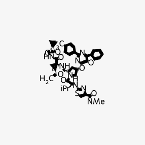 C=C[C@@H]1C[C@]1(NC(=O)[C@@H]1C[C@@H](Oc2nc(-c3ccc(C(F)(F)F)cc3)nc3c2oc2ccccc23)CN1C(=O)[C@@H](Nc1nc(C(=O)NC)cs1)C(C)C)C(=O)NS(=O)(=O)C1CC1